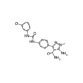 Cn1nc(-c2ccc(NC(=O)Nc3cccc(Cl)c3)cc2)c(C(N)=O)c1N